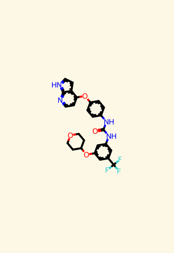 O=C(Nc1ccc(Oc2ccnc3[nH]ccc23)cc1)Nc1cc(OC2CCOCC2)cc(C(F)(F)F)c1